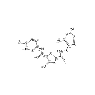 O=C(NCc1ccc(Cl)cc1Cl)C1CC(=O)N(C(=O)Nc2ccc(Cl)nc2)C1